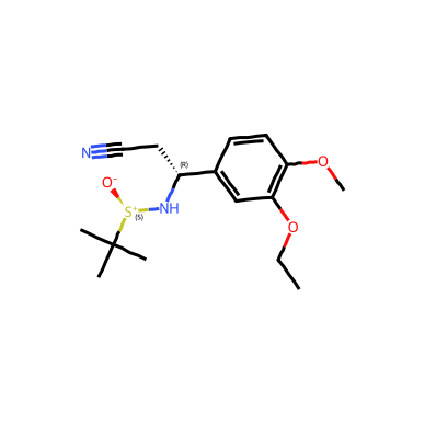 CCOc1cc([C@@H](CC#N)N[S@+]([O-])C(C)(C)C)ccc1OC